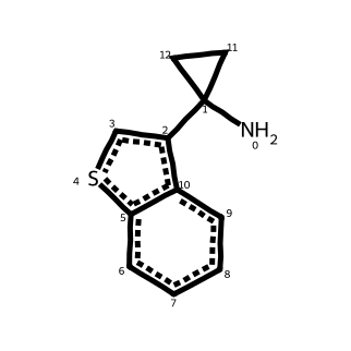 NC1(c2csc3ccccc23)CC1